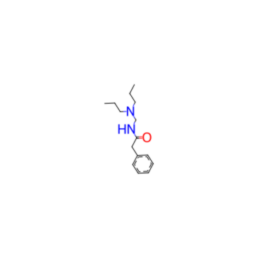 CCCN(CCC)CNC(=O)Cc1ccccc1